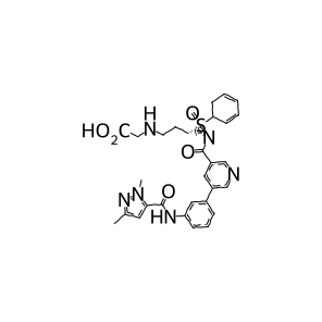 Cc1cc(C(=O)Nc2cccc(-c3cncc(C(=O)N=[S@](=O)(CCCNCC(=O)O)C4C=CC=CC4)c3)c2)n(C)n1